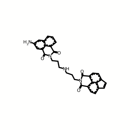 Nc1cc2c3c(cccc3c1)C(=O)N(CCCNCCCN1C(=O)c3ccc4c5c(ccc(c35)C1=O)C=C4)C2=O